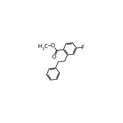 COC(=O)c1ccc(F)cc1CCc1ccccc1